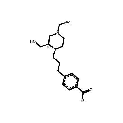 CC(=O)CN1CCN(CCCc2ccc(C(=O)C(C)(C)C)cc2)[C@@H](CO)C1